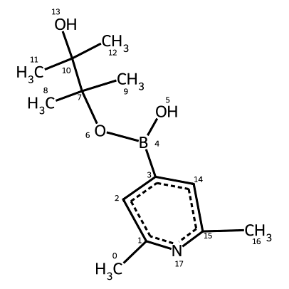 Cc1cc(B(O)OC(C)(C)C(C)(C)O)cc(C)n1